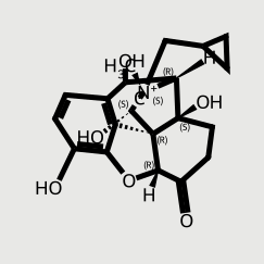 C[N@+]1(CC2CC2)C[C@@H](O)[C@]23c4c5ccc(O)c4O[C@H]2C(=O)CC[C@@]3(O)[C@H]1C5O